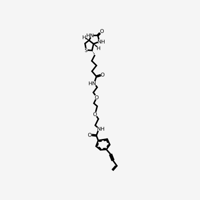 C=CC#Cc1ccc(C(=O)NCCOCCOCCNC(=O)CCCC[C@@H]2SC[C@@H]3NC(=O)N[C@@H]32)cc1